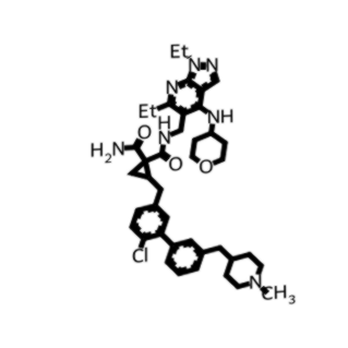 CCc1nc2c(cnn2CC)c(NC2CCOCC2)c1CNC(=O)C1(C(N)=O)CC1Cc1ccc(Cl)c(-c2cccc(CC3CCN(C)CC3)c2)c1